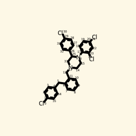 Clc1ccc(Cc2ccccc2CN2CCN(c3ccc(Cl)cc3Cl)C(c3ccc(Cl)cc3)C2)cc1